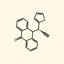 C#C[C@H](c1cccs1)C1c2ccccc2C(=O)c2ccccc21